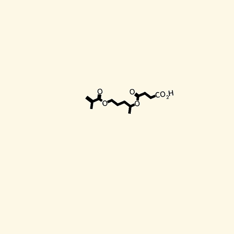 C=C(C)C(=O)OCCCC(C)OC(=O)CCC(=O)O